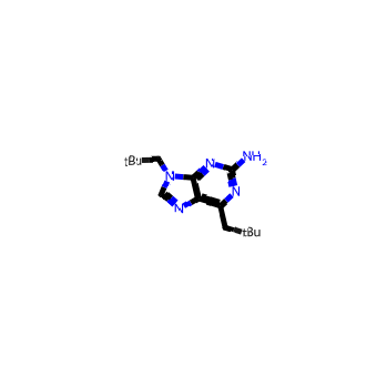 CC(C)(C)Cc1nc(N)nc2c1ncn2CC(C)(C)C